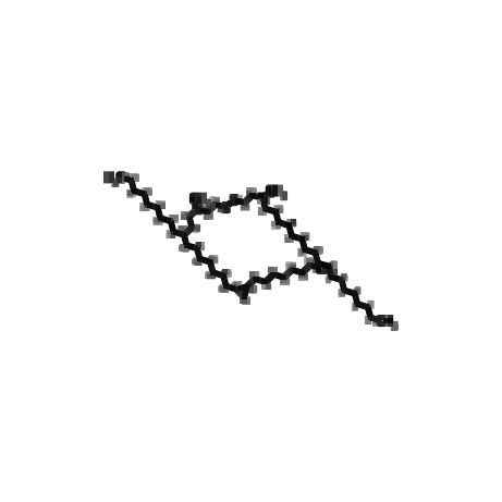 CCCCCCCCCCCCCCCCCCN(C)CCSSCCN(C)CCC(CCCCCCCCC)CCCCCCCC1CC1CCCCCCCC